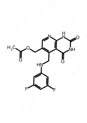 CC(=O)OCc1cnc2[nH]c(=O)[nH]c(=O)c2c1CNc1cc(F)cc(F)c1